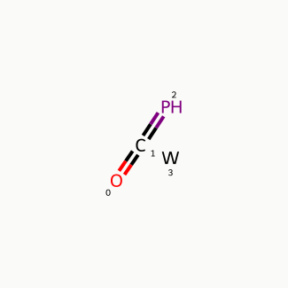 O=C=P.[W]